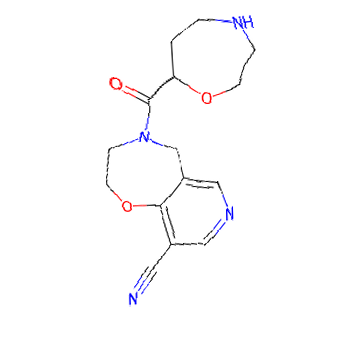 N#Cc1cncc2c1OCCN(C(=O)C1CCNCCO1)C2